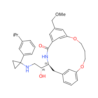 COCc1cc2cc(c1)C(=O)N[C@H]([C@H](O)CNC1(c3cccc(C(C)C)c3)CC1)Cc1cccc(c1)OCCCO2